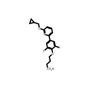 O=C(O)CCCOc1c(F)cc(-c2cccc(OCC3CC3)n2)cc1F